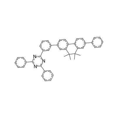 CC1(C)c2cc(-c3ccccc3)ccc2-c2ccc(-c3cccc(-c4nc(-c5ccccc5)nc(-c5ccccc5)n4)c3)cc2C1(C)C